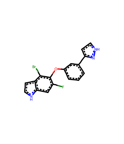 Fc1cc2[nH]ccc2c(Br)c1Oc1cccc(-c2cc[nH]n2)c1